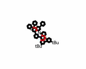 CC(C)(C)c1ccc2c(c1)c1cc(C(C)(C)C)ccc1n2-c1cccc(N(c2cc(-c3ccccc3)cc(C(Cl)(c3ccccc3)c3ccccc3)c2)c2c(-c3ccccc3)cccc2-c2ccccc2)c1